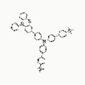 C[Si](C)(C)c1ccc(-c2ccc(N(c3ccc(-c4ccc([Si](C)(C)C)cc4)cc3)c3ccc(-c4ccc5c(c4)Sc4ccccc4N5c4ccccc4)cc3)cc2)cc1